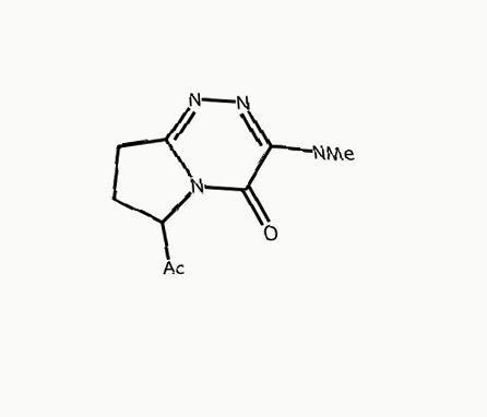 CNc1nnc2n(c1=O)C(C(C)=O)CC2